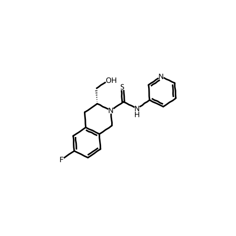 OC[C@H]1Cc2cc(F)ccc2CN1C(=S)Nc1cccnc1